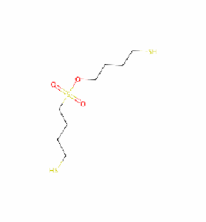 O=S(=O)(CCCCS)OCCCCS